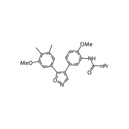 CCCC(=O)Nc1cc(-c2cnoc2-c2cc(C)c(C)c(OC)c2)ccc1OC